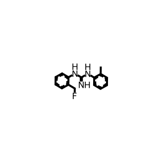 Cc1ccccc1NC(=N)Nc1ccccc1CF